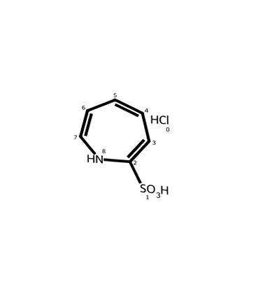 Cl.O=S(=O)(O)C1=CC=CC=CN1